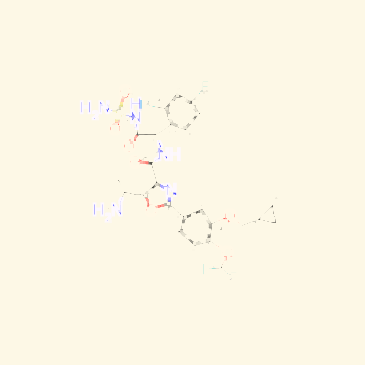 C[C@H](N)c1oc(-c2ccc(OC(F)F)c(OCC3CC3)c2)nc1C(=O)N[C@@H](C(=O)NS(N)(=O)=O)c1ccc(F)cc1F